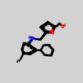 CC(C)c1ccc(NCc2ccc(CO)o2)c(C2CCCCC2)c1